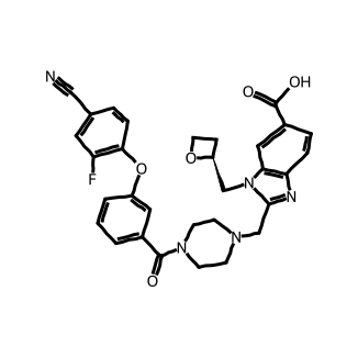 N#Cc1ccc(Oc2cccc(C(=O)N3CCN(Cc4nc5ccc(C(=O)O)cc5n4C[C@@H]4CCO4)CC3)c2)c(F)c1